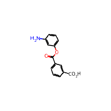 Nc1cccc(OC(=O)c2cccc(C(=O)O)c2)c1